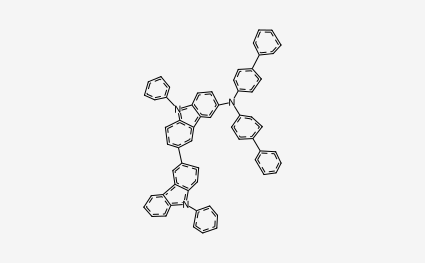 c1ccc(-c2ccc(N(c3ccc(-c4ccccc4)cc3)c3ccc4c(c3)c3cc(-c5ccc6c(c5)c5ccccc5n6-c5ccccc5)ccc3n4-c3ccccc3)cc2)cc1